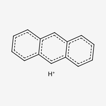 [H+].c1ccc2cc3ccccc3cc2c1